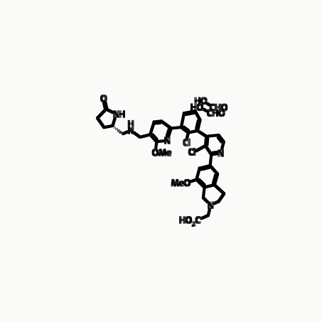 COc1cc(-c2nccc(-c3cccc(-c4ccc(CNC[C@@H]5CCC(=O)N5)c(OC)n4)c3Cl)c2Cl)cc2c1CN(CC(=O)O)CC2.O=CO.O=CO